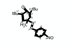 CC1(N=Nc2ccc(N=O)cc2)C=C(C(C)(C)C)C(=O)C(C(C)(C)C)=C1